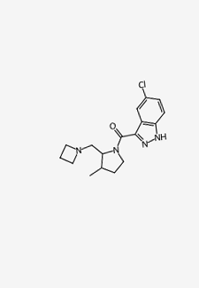 CC1CCN(C(=O)c2n[nH]c3ccc(Cl)cc23)C1CN1CCC1